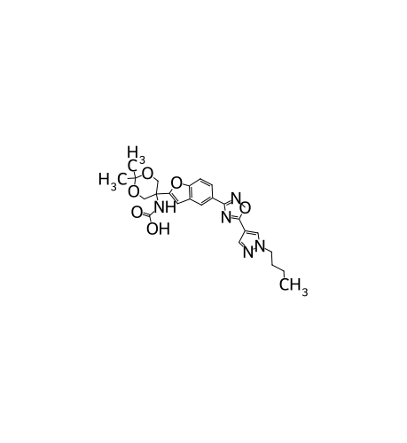 CCCCn1cc(-c2nc(-c3ccc4oc(C5(NC(=O)O)COC(C)(C)OC5)cc4c3)no2)cn1